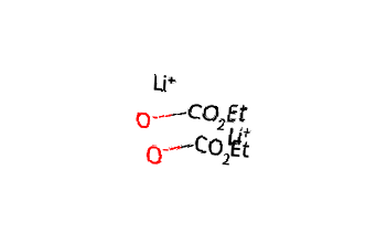 CCOC(=O)[O-].CCOC(=O)[O-].[Li+].[Li+]